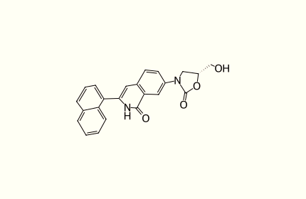 O=C1O[C@@H](CO)CN1c1ccc2cc(-c3cccc4ccccc34)[nH]c(=O)c2c1